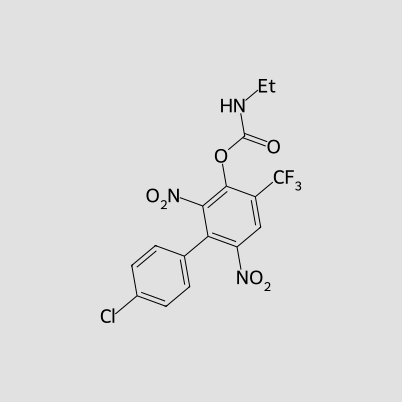 CCNC(=O)Oc1c(C(F)(F)F)cc([N+](=O)[O-])c(-c2ccc(Cl)cc2)c1[N+](=O)[O-]